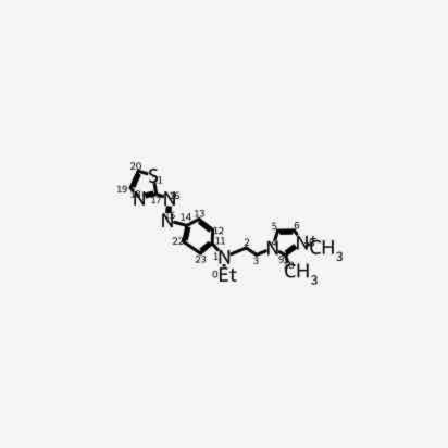 CCN(CCn1cc[n+](C)c1C)c1ccc(N=Nc2nccs2)cc1